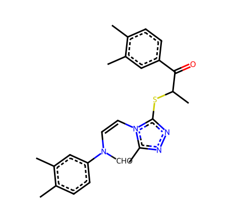 Cc1ccc(C(=O)C(C)Sc2nnc(C)n2/C=C\N(C=O)c2ccc(C)c(C)c2)cc1C